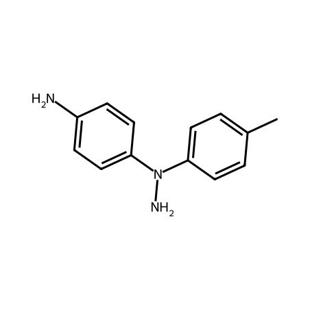 Cc1ccc(N(N)c2ccc(N)cc2)cc1